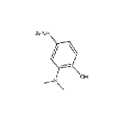 CC(=O)Nc1ccc(O)c(N(C)C)c1